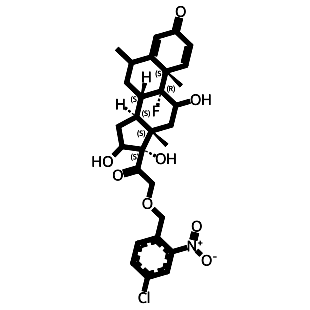 CC1C[C@H]2[C@@H]3CC(O)[C@](O)(C(=O)COCc4ccc(Cl)cc4[N+](=O)[O-])[C@@]3(C)CC(O)[C@]2(F)[C@@]2(C)C=CC(=O)C=C12